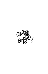 CC(C)(C)OC(=O)NC(Cc1sc2c(N(Cc3cccs3)C(=O)O)snc2c1Br)C(=O)N1CCOCC1